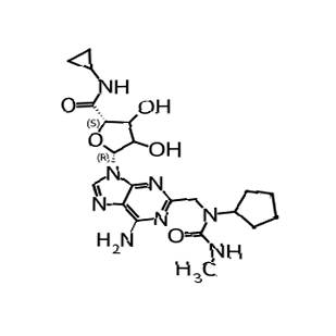 CNC(=O)N(Cc1nc(N)c2ncn([C@@H]3O[C@H](C(=O)NC4CC4)C(O)C3O)c2n1)C1CCCC1